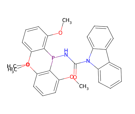 COc1cccc(OC)c1P(NC(=O)n1c2ccccc2c2ccccc21)c1c(OC)cccc1OC